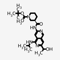 CC(C)Nc1nc(C(C)O)cc2cnc(NC(=O)[C@@H]3CCCN(C(=O)OC(C)(C)C)C3)cc12